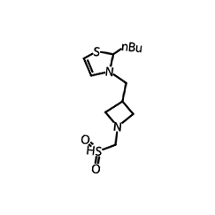 CCCCC1SC=CN1CC1CN(C[SH](=O)=O)C1